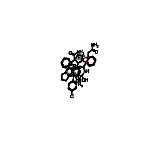 CC1C[C@@H](C2CCCN2[C@@]2(C(=O)NC(=O)O)c3ccc(cc3)C2(C)CC(N)=O)N(C)[C@@]1(c1ccc(Cl)cc1)C1CCCN1[C@@]1(C(=O)NC(=O)O)c2ccc(cc2)C1(C)CC(N)=O